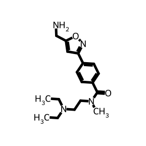 CCN(CC)CCN(C)C(=O)c1ccc(-c2cc(CN)on2)cc1